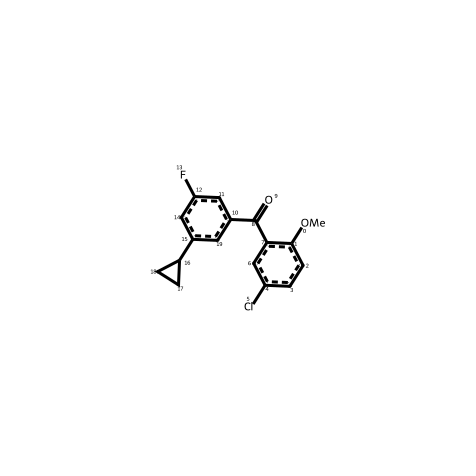 COc1ccc(Cl)cc1C(=O)c1cc(F)cc(C2CC2)c1